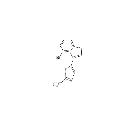 Cc1ccc(C2=CCc3cccc(Br)c32)s1